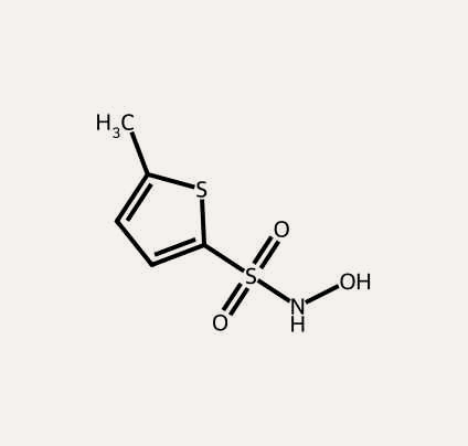 Cc1ccc(S(=O)(=O)NO)s1